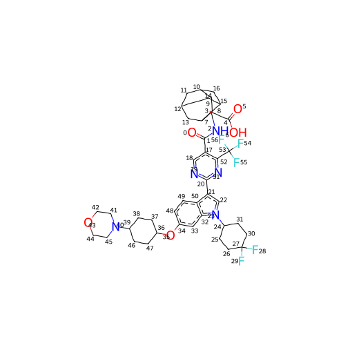 O=C(NC1(C(=O)O)C2CCC3CC(C2)CC1C3)c1cnc(-c2cn(C3CCC(F)(F)CC3)c3cc(OC4CCC(N5CCOCC5)CC4)ccc23)nc1C(F)(F)F